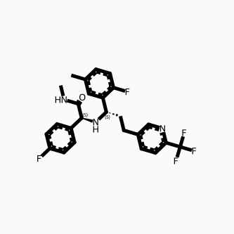 CNC(=O)[C@@H](N[C@@H](CCc1ccc(C(F)(F)F)nc1)c1cc(C)ccc1F)c1ccc(F)cc1